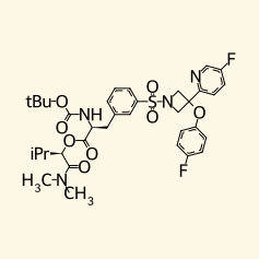 CC(C)[C@@H](OC(=O)[C@H](Cc1cccc(S(=O)(=O)N2CC(Oc3ccc(F)cc3)(c3ccc(F)cn3)C2)c1)NC(=O)OC(C)(C)C)C(=O)N(C)C